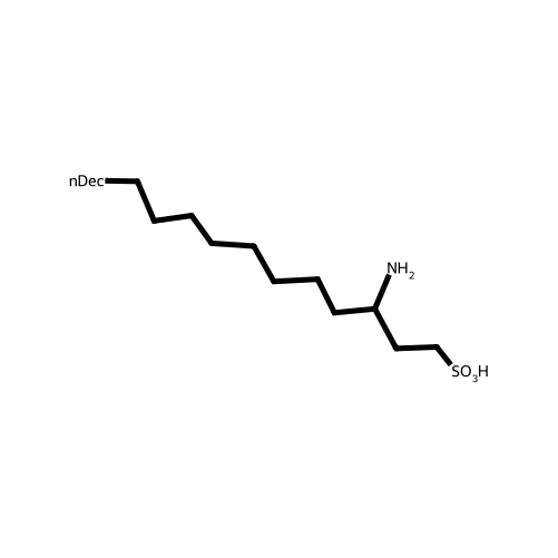 CCCCCCCCCCCCCCCCCCC(N)CCS(=O)(=O)O